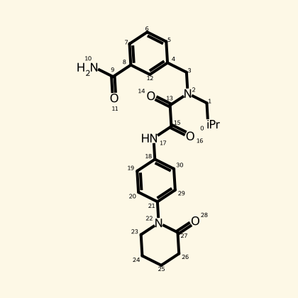 CC(C)CN(Cc1cccc(C(N)=O)c1)C(=O)C(=O)Nc1ccc(N2CCCCC2=O)cc1